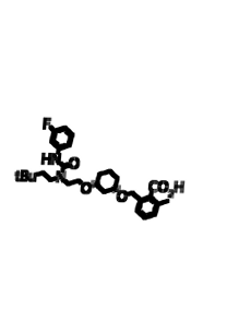 Cc1cccc(CO[C@H]2CCC[C@@H](OCCN(CCC(C)(C)C)C(=O)Nc3cccc(F)c3)C2)c1C(=O)O